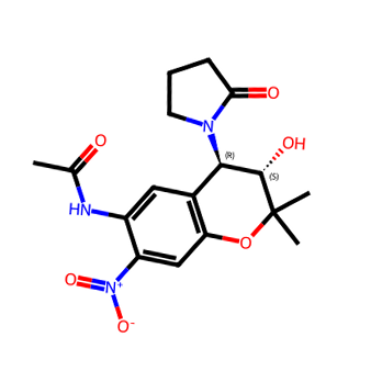 CC(=O)Nc1cc2c(cc1[N+](=O)[O-])OC(C)(C)[C@@H](O)[C@@H]2N1CCCC1=O